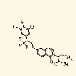 CCC(C(=O)O)n1ncc2cc(C=CC(c3cc(Cl)c(F)c(Cl)c3)C(F)(F)F)ccc2c1=O